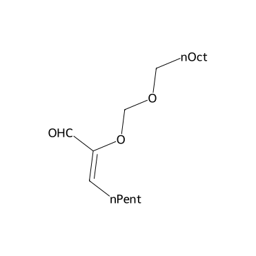 CCCCCC=C(C=O)OCOCCCCCCCCC